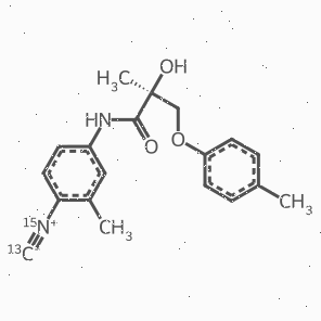 Cc1ccc(OC[C@](C)(O)C(=O)Nc2ccc([15N+]#[13C-])c(C)c2)cc1